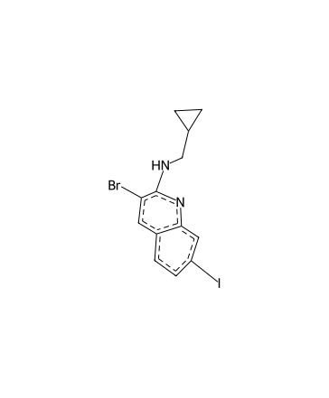 Brc1cc2ccc(I)cc2nc1NCC1CC1